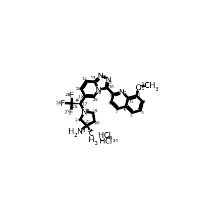 COc1cccc2ccc(-c3nnc4ccc([C@@H](N5CC[C@](C)(N)C5)C(F)(F)F)cn34)nc12.Cl.Cl